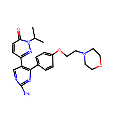 CC(C)n1nc(-c2cnc(N)nc2-c2ccc(OCCN3CCOCC3)cc2)ccc1=O